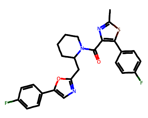 Cc1nc(C(=O)N2CCCCC2Cc2ncc(-c3ccc(F)cc3)o2)c(-c2ccc(F)cc2)s1